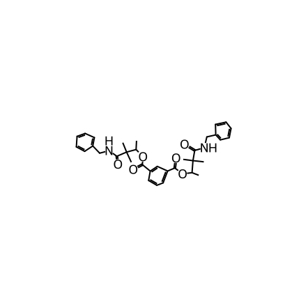 CC(OC(=O)c1cccc(C(=O)OC(C)C(C)(C)C(=O)NCc2ccccc2)c1)C(C)(C)C(=O)NCc1ccccc1